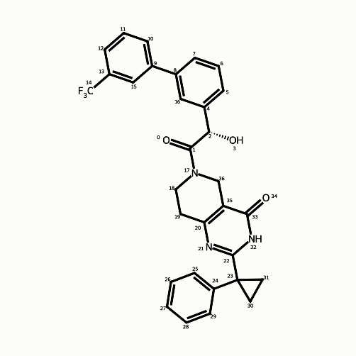 O=C([C@@H](O)c1cccc(-c2cccc(C(F)(F)F)c2)c1)N1CCc2nc(C3(c4ccccc4)CC3)[nH]c(=O)c2C1